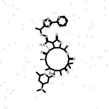 CO[C@]1(C)C[C@@H](C)C(=O)[C@H](C)C2C(/C(N)=N/OC(C)c3nnc(-c4ccccn4)s3)C(=O)OC2C(C)OC(=O)C(C)(C)C(=O)C(C)[C@H]1OC1CC(N(C)C)CC(C)O1